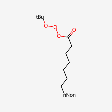 CCCCCCCCCCCCCCCC(=O)OOOC(C)(C)C